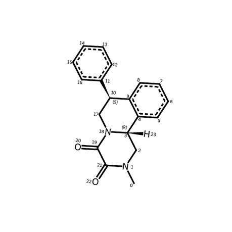 CN1C[C@H]2c3ccccc3[C@H](c3ccccc3)CN2C(=O)C1=O